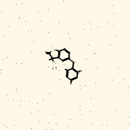 Cc1cc(O)cc(C)c1Cc1ccc2c(c1)C(C)(C)C(=O)N2